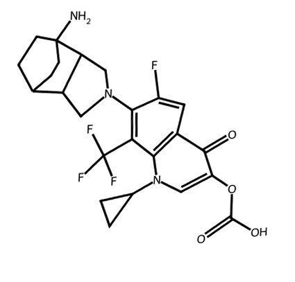 NC12CCC(CC1)C1CN(c3c(F)cc4c(=O)c(OC(=O)O)cn(C5CC5)c4c3C(F)(F)F)CC12